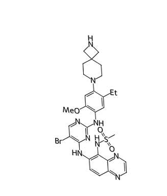 CCc1cc(Nc2ncc(Br)c(Nc3ccc4nccnc4c3NS(C)(=O)=O)n2)c(OC)cc1N1CCC2(CC1)CNC2